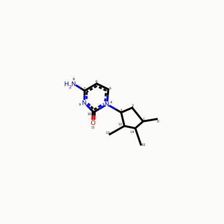 CC1CC(n2ccc(N)nc2=O)C(C)C1C